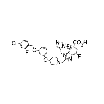 CCn1cncc1Cn1c(CN2CCC(Oc3cccc(OCc4ccc(Cl)cc4F)c3)CC2)nc2c(F)cc(C(=O)O)cc21